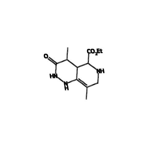 CCOC(=O)C1NCC(C)=C2NNC(=O)C(C)C21